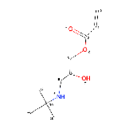 C=CC(=O)OCC(O)CNC(C)(C)C